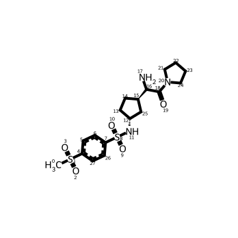 CS(=O)(=O)c1ccc(S(=O)(=O)N[C@@H]2CC[C@@H](C(N)C(=O)N3CCCC3)C2)cc1